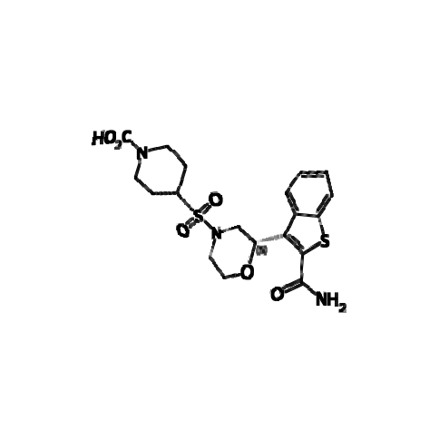 NC(=O)c1sc2ccccc2c1[C@H]1CN(S(=O)(=O)C2CCN(C(=O)O)CC2)CCO1